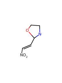 O=[N+]([O-])/C=C/C1[N]CCO1